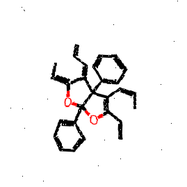 C=C/C=C1\C(=C/C)OC2(c3ccccc3)OC(C=C)=C(/C=C\C)C12c1ccccc1